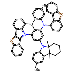 CC(C)(C)c1ccc2c(c1)N(c1cccc3sc4ccccc4c13)c1cc(N3c4ccc(C(C)(C)C)cc4C4(C)CCCCC34C)cc3c1B2c1cccc2c4sc5ccccc5c4n-3c12